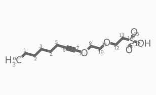 CCCCCCC#COCCOCCS(=O)(=O)O